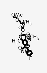 CNC(=O)c1c(-c2ccc(F)cc2)oc2cc3c(cc12)[C@H](C)O[C@H](COC(=O)CN(C)CCOCCOC)CN3S(C)(=O)=O